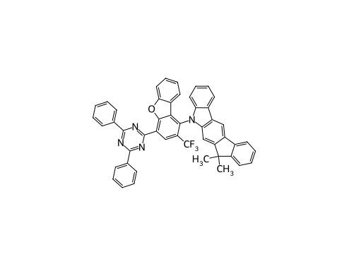 CC1(C)c2ccccc2-c2cc3c4ccccc4n(-c4c(C(F)(F)F)cc(-c5nc(-c6ccccc6)nc(-c6ccccc6)n5)c5oc6ccccc6c45)c3cc21